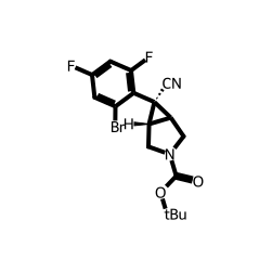 CC(C)(C)OC(=O)N1CC2[C@H](C1)[C@@]2(C#N)c1c(F)cc(F)cc1Br